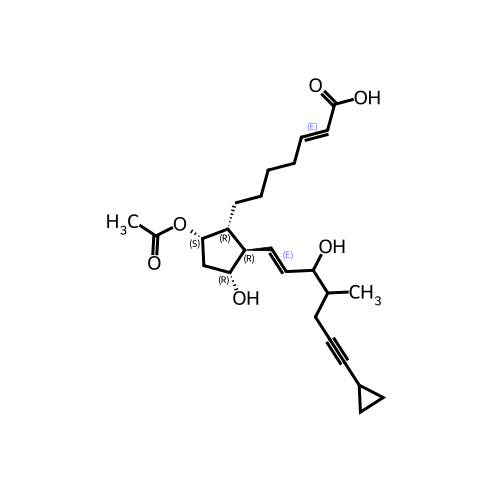 CC(=O)O[C@H]1C[C@@H](O)[C@H](/C=C/C(O)C(C)CC#CC2CC2)[C@H]1CCCC/C=C/C(=O)O